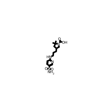 CC1(C)CC(CCCNc2ccc(S(N)(=O)=O)cn2)CN1C(=O)O